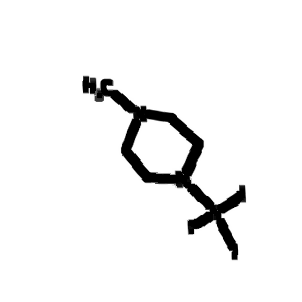 CN1CCN(S(I)(I)I)CC1